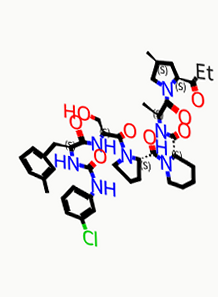 CCC(=O)[C@@H]1C[C@H](C)CN1C(=O)[C@H](C)NC(=O)[C@@H]1CCCCN1C(=O)[C@@H]1CCCN1C(=O)[C@H](CO)NC(=O)[C@H](Cc1cccc(C)c1)NC(=O)Nc1cccc(Cl)c1